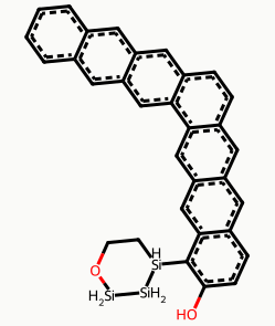 Oc1ccc2cc3cc4ccc5cc6cc7ccccc7cc6cc5c4cc3cc2c1[SiH]1CCO[SiH2][SiH2]1